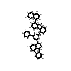 c1ccc(-c2nc(-c3ccc4c5c(cccc35)-c3ccccc3-4)nc(-c3cccc4oc5c(-c6cccc7ccccc67)cccc5c34)n2)cc1